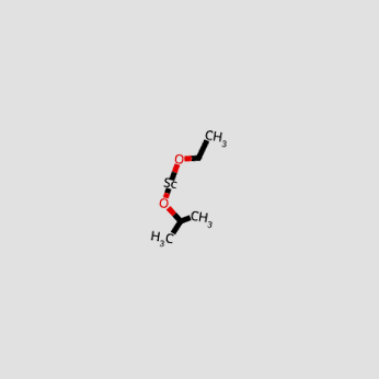 CC[O][Sc][O]C(C)C